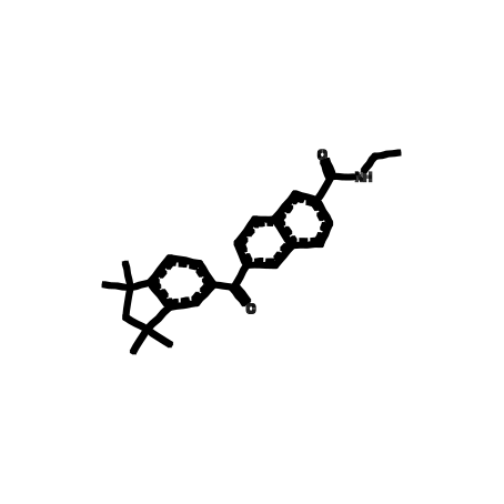 CCNC(=O)c1ccc2cc(C(=O)c3ccc4c(c3)C(C)(C)CC4(C)C)ccc2c1